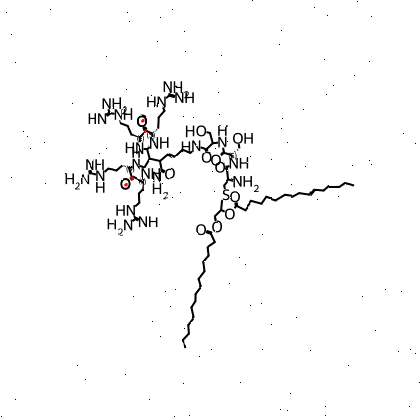 CCCCCCCCCCCCCCCC(=O)OCC(CSCC(N)C(=O)N[C@@H](CO)C(=O)NC(CO)C(=O)NCCCCC(C(N)=O)C(C(N[C@H](C=O)CCCNC(=N)N)N[C@H](C=O)CCCNC(=N)N)C(N[C@H](C=O)CCCNC(=N)N)N[C@H](C=O)CCCNC(=N)N)OC(=O)CCCCCCCCCCCCCCC